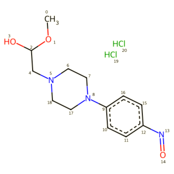 COC(O)CN1CCN(c2ccc(N=O)cc2)CC1.Cl.Cl